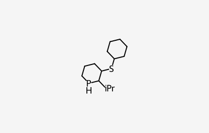 CC(C)C1PCCCC1SC1CCCCC1